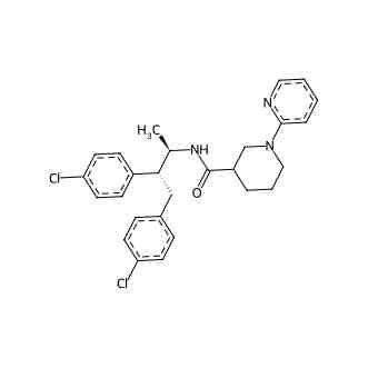 C[C@@H](NC(=O)C1CCCN(c2ccccn2)C1)[C@H](Cc1ccc(Cl)cc1)c1ccc(Cl)cc1